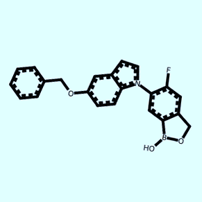 OB1OCc2cc(F)c(-n3ccc4cc(OCc5ccccc5)ccc43)cc21